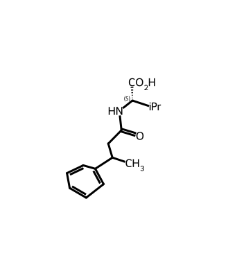 CC(CC(=O)N[C@H](C(=O)O)C(C)C)c1ccccc1